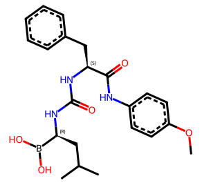 COc1ccc(NC(=O)[C@H](Cc2ccccc2)NC(=O)N[C@@H](CC(C)C)B(O)O)cc1